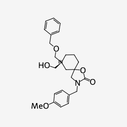 COc1ccc(CN2CC3(CCC[C@@](CO)(COCc4ccccc4)C3)OC2=O)cc1